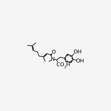 CC(C)=CCC/C(C)=C/C(=O)N(C)C(Cc1ccc(O)c(O)c1)C(=O)O